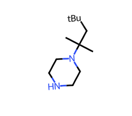 CC(C)(C)CC(C)(C)N1CCNCC1